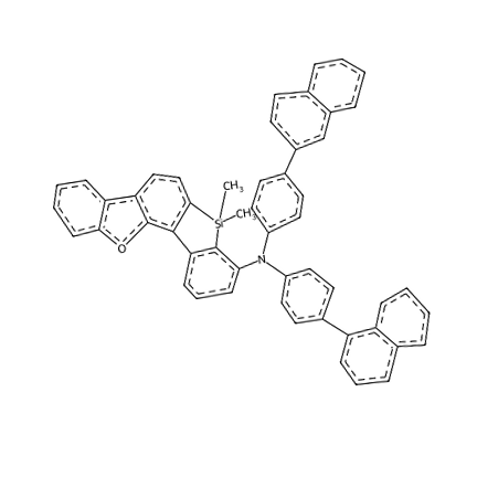 C[Si]1(C)c2ccc3c(oc4ccccc43)c2-c2cccc(N(c3ccc(-c4ccc5ccccc5c4)cc3)c3ccc(-c4cccc5ccccc45)cc3)c21